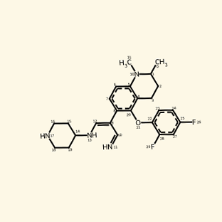 CC1CCc2c(ccc(/C(C=N)=C/NC3CCNCC3)c2Oc2ccc(F)cc2F)N1C